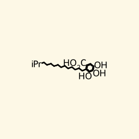 CC(C)CCCCCCCCCCCCc1c(C(=O)O)cc(O)c(O)c1O